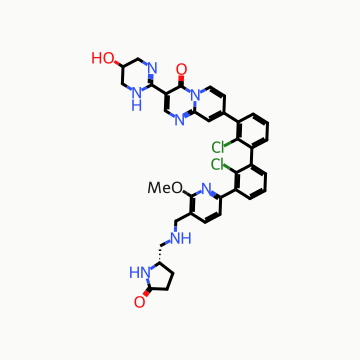 COc1nc(-c2cccc(-c3cccc(-c4ccn5c(=O)c(C6=NCC(O)CN6)cnc5c4)c3Cl)c2Cl)ccc1CNC[C@@H]1CCC(=O)N1